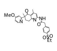 CCS(=O)(=O)c1ccc(CC(=O)Nc2cc(C)c3c(n2)CCC(C)(c2cc(OC)ccn2)C3=O)cc1